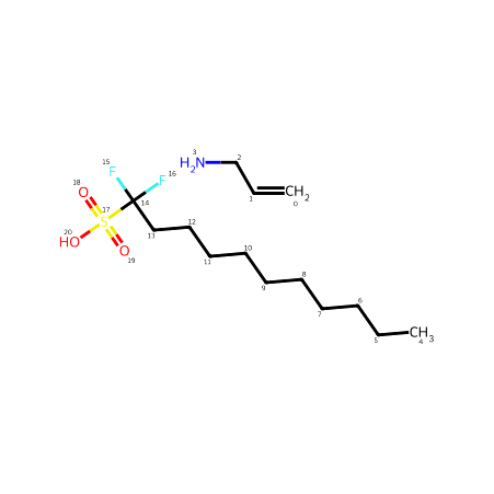 C=CCN.CCCCCCCCCCC(F)(F)S(=O)(=O)O